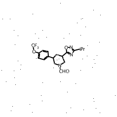 CC(C)c1noc(C2CC(c3ccc(OC(F)(F)F)cc3)CN(C=O)C2)n1